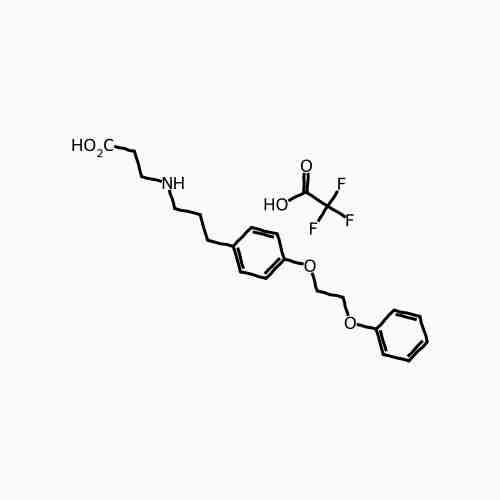 O=C(O)C(F)(F)F.O=C(O)CCNCCCc1ccc(OCCOc2ccccc2)cc1